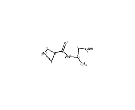 COCC(C)NC(=O)C1CNC1